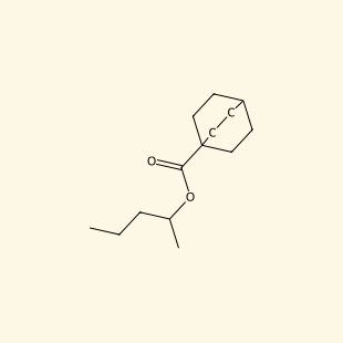 CCCC(C)OC(=O)C12CCC(CC1)CC2